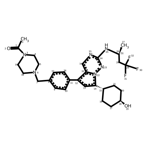 CC(=O)N1CCN(Cc2ccc(-c3cc([C@H]4CC[C@H](O)CC4)n4nc(N[C@@H](C)CC(F)(F)F)ncc34)cc2)CC1